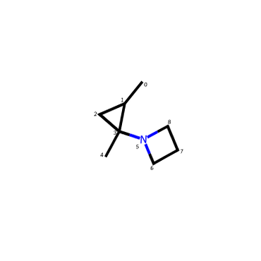 CC1CC1(C)N1CCC1